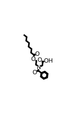 CCCCCCCC(=O)OCCN(CC(=O)O)C(=O)c1ccccc1